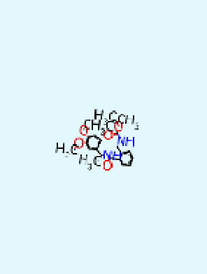 COc1ccc([C@@H](C)NC(=O)c2ccccc2CNC(=O)OC(C)(C)C)cc1OC